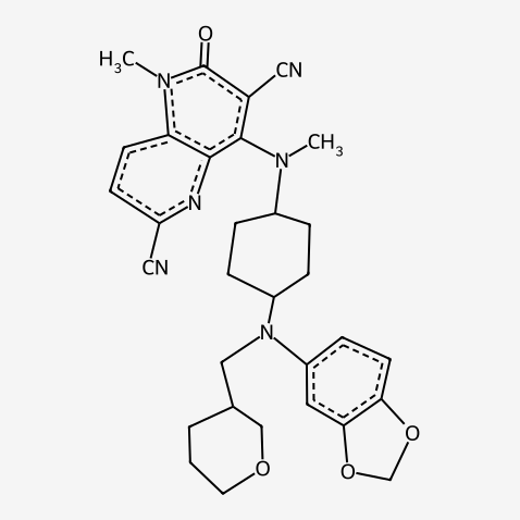 CN(c1c(C#N)c(=O)n(C)c2ccc(C#N)nc12)C1CCC(N(CC2CCCOC2)c2ccc3c(c2)OCO3)CC1